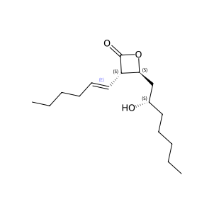 CCCC/C=C/[C@@H]1C(=O)O[C@H]1C[C@@H](O)CCCCC